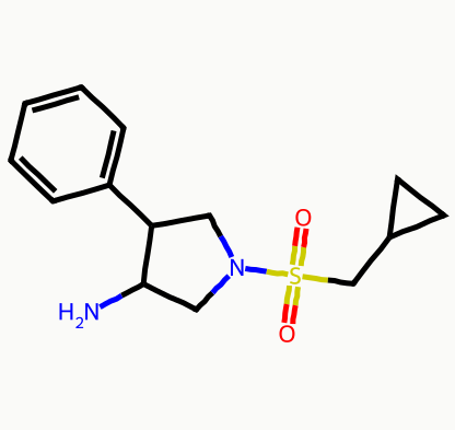 NC1CN(S(=O)(=O)CC2CC2)CC1c1ccccc1